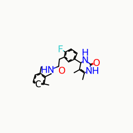 CC1=C(C)C(c2ccc(F)c(CC(=O)NCc3c(C)cccc3C)c2)NC(=O)N1